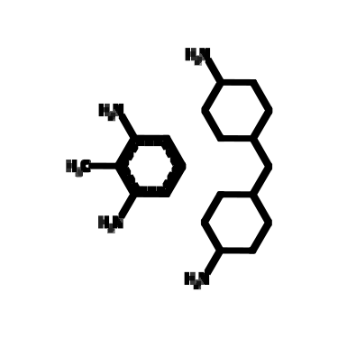 Cc1c(N)cccc1N.NC1CCC(CC2CCC(N)CC2)CC1